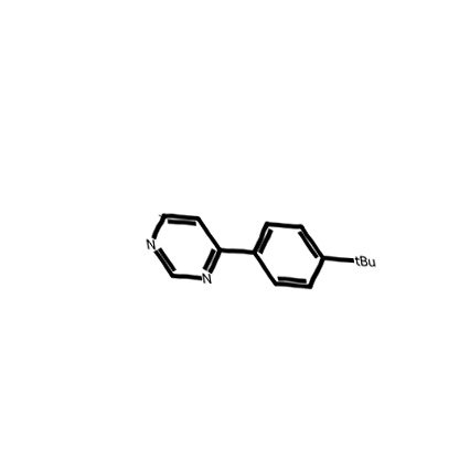 CC(C)(C)c1ccc(-c2c[c]ncn2)cc1